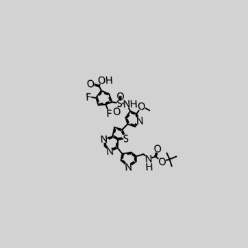 COc1ncc(-c2cc3ncnc(-c4cncc(CNC(=O)OC(C)(C)C)c4)c3s2)cc1NS(=O)(=O)c1cc(C(=O)O)c(F)cc1F